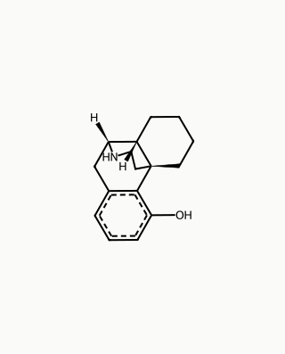 Oc1cccc2c1[C@@]13CCCC[C@H]1[C@@H](C2)NCC3